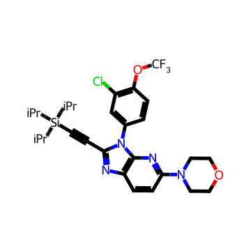 CC(C)[Si](C#Cc1nc2ccc(N3CCOCC3)nc2n1-c1ccc(OC(F)(F)F)c(Cl)c1)(C(C)C)C(C)C